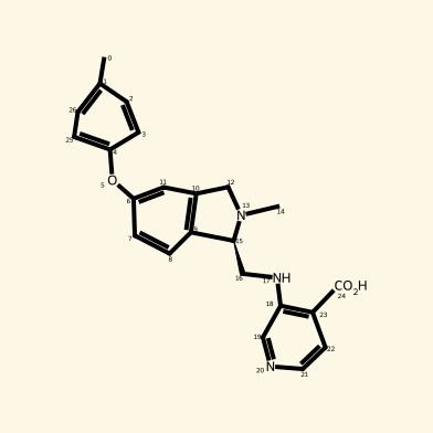 Cc1ccc(Oc2ccc3c(c2)CN(C)[C@H]3CNc2cnccc2C(=O)O)cc1